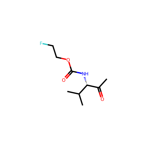 CC(=O)[C@@H](NC(=O)OCCF)C(C)C